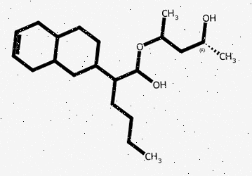 CCCCC(C1CCC2CC=CCC2C1)C(O)OC(C)C[C@@H](C)O